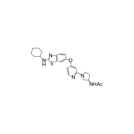 CC(=O)N[C@@H]1CCN(c2cc(Oc3ccc4nc(NC5CCCCC5)sc4c3)ccn2)C1